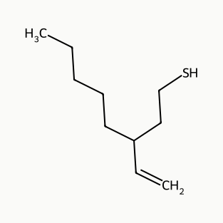 C=CC(CCS)CCCCC